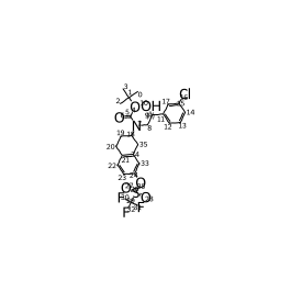 CC(C)(C)OC(=O)N(C[C@H](O)c1cccc(Cl)c1)C1CCc2ccc(OS(=O)(=O)C(F)(F)F)cc2C1